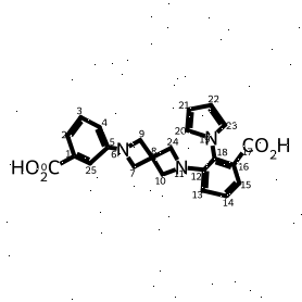 O=C(O)c1cccc(N2CC3(C2)CN(c2cccc(C(=O)O)c2-n2cccc2)C3)c1